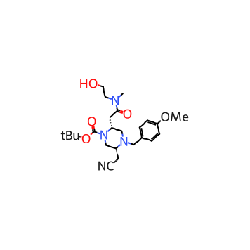 COc1ccc(CN2C[C@@H](CC(=O)N(C)CCO)N(C(=O)OC(C)(C)C)C[C@@H]2CC#N)cc1